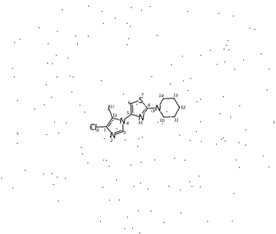 Clc1ncn(-c2csc(N3CCCCC3)n2)c1I